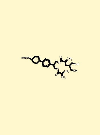 C=C(C)C(=O)OCC(COC(=O)C(=C)CC(CO)CO)c1ccc(C2CCC(CCCCCCC)CC2)cc1